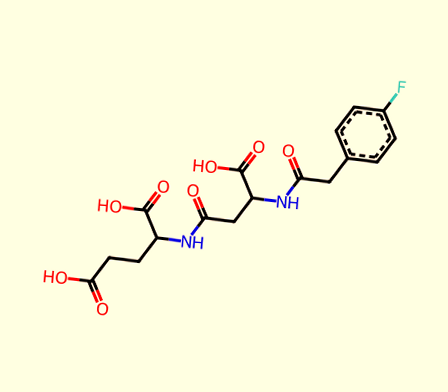 O=C(O)CCC(NC(=O)CC(NC(=O)Cc1ccc(F)cc1)C(=O)O)C(=O)O